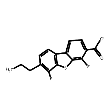 CCCc1ccc2c(sc3c(F)c(C(=O)Cl)ccc32)c1F